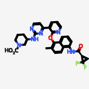 Cc1ccc2c(NC(=O)[C@H]3CC3(F)F)cccc2c1Oc1ncccc1-c1ccnc(NC2CCCN(C(=O)O)C2)n1